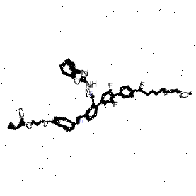 C=CC(=O)OCCCOc1ccc(/C=C/c2ccc(-c3cc(F)c(-c4ccc(C(F)CCCCCCOC)cc4)c(F)c3)c(/C=N/Nc3nc4ccccc4o3)c2)cc1